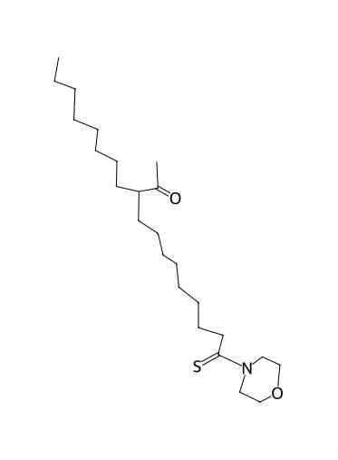 CCCCCCCCC(CCCCCCCCC(=S)N1CCOCC1)C(C)=O